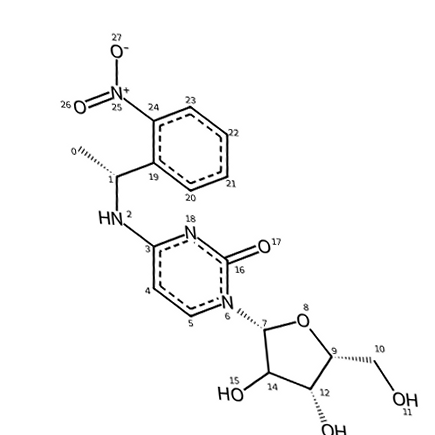 C[C@@H](Nc1ccn([C@@H]2O[C@H](CO)[C@H](O)C2O)c(=O)n1)c1ccccc1[N+](=O)[O-]